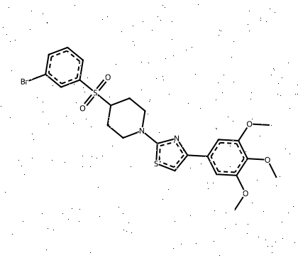 COc1cc(-c2csc(N3CCC(S(=O)(=O)c4cccc(Br)c4)CC3)n2)cc(OC)c1OC